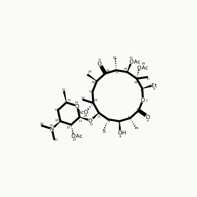 CC[C@H]1OC(=O)[C@H](C)[C@@H](O)[C@H](C)[C@@H](O[C@@H]2O[C@H](C)C[C@H](N(C)C)[C@H]2OC(C)=O)[C@](C)(OC(C)=O)C[C@@H](C)C(=O)[C@H](C)[C@@H](OC(C)=O)[C@]1(C)OC(C)=O